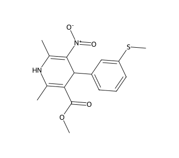 COC(=O)C1=C(C)NC(C)=C([N+](=O)[O-])C1c1cccc(SC)c1